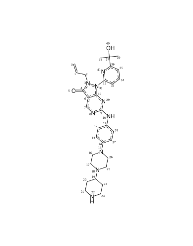 C=CCn1c(=O)c2cnc(Nc3ccc(N4CCN(C5CCNCC5)CC4)cc3)nc2n1-c1cccc(C(C)(C)O)n1